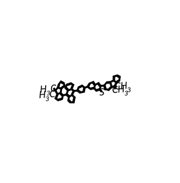 CC1(C)c2ccccc2-c2cc3c(cc21)sc1cc2cc(-c4ccc(-c5c6ccccc6c(-c6cccc7c6-c6ccccc6C7(C)C)c6ccccc56)cc4)ccc2cc13